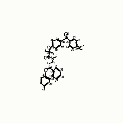 Cc1ccc(O[C@H](CCN(C)C(=O)C(C)(C)Oc2ccc(C(=O)c3ccc(Cl)cc3)cc2)c2ccccc2)cc1